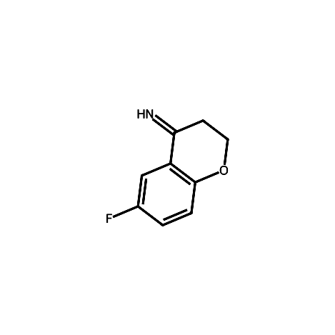 N=C1CCOc2ccc(F)cc21